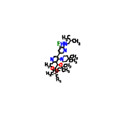 Cc1ncc(-c2cnc(NCC(C)C)c(F)c2)c(N2CCC(C)(C)CC2)c1C(OC(C)(C)C)C(=O)OC(C)C